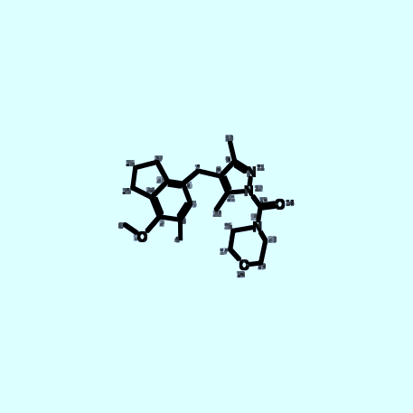 COc1c(C)cc(Cc2c(C)nn(C(=O)N3CCOCC3)c2C)c2c1CCC2